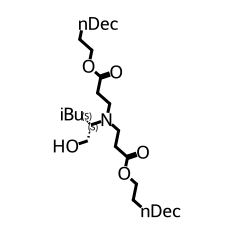 CCCCCCCCCCCCOC(=O)CCN(CCC(=O)OCCCCCCCCCCCC)[C@H](CO)[C@@H](C)CC